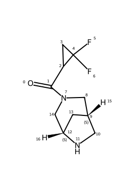 O=C(C1CC1(F)F)N1C[C@@H]2CN[C@@H](C2)C1